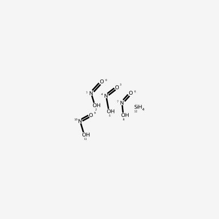 O=NO.O=NO.O=NO.O=NO.[SiH4]